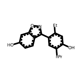 CCCc1cc(-c2noc3cc(O)ccc23)c(CC)cc1O